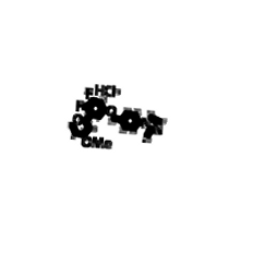 COC1CCOC(c2cc(OCc3ccc(-n4ccnc4C)cc3)cc(F)c2F)C1.Cl